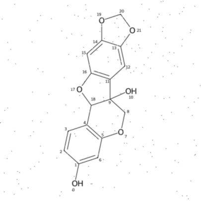 Oc1ccc2c(c1)OCC1(O)c3cc4c(cc3OC21)OCO4